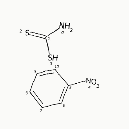 NC(=S)S.O=[N+]([O-])c1ccccc1